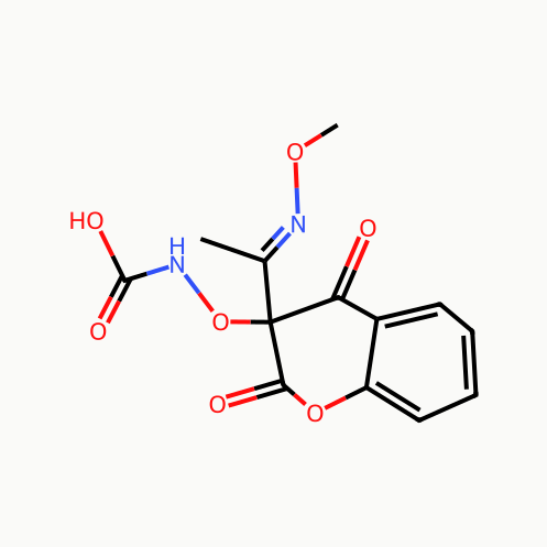 CON=C(C)C1(ONC(=O)O)C(=O)Oc2ccccc2C1=O